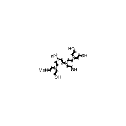 CCCN(CCN(CCO)CCNC)CCN(CCO)CCN(CCO)CCO